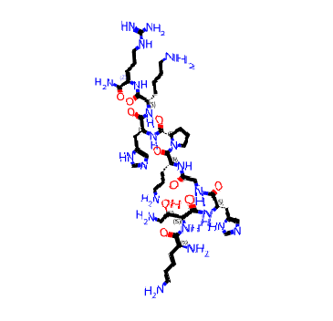 N=C(N)NCC/C=C(\NC(=O)[C@H](CCCCN)NC(=O)[C@H](Cc1cnc[nH]1)NC(=O)[C@@H]1CCCN1C(=O)[C@@H](CCCN)NC(=O)CNC(=O)[C@H](Cc1cnc[nH]1)NC(=O)[C@@H](NC(=O)[C@@H](N)CCCCN)[C@@H](O)CN)C(N)=O